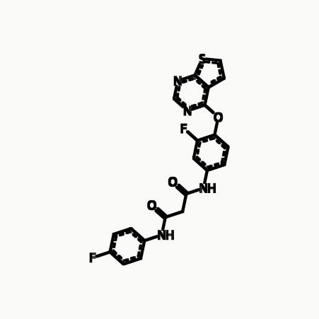 O=C(CC(=O)Nc1ccc(Oc2ncnc3sccc23)c(F)c1)Nc1ccc(F)cc1